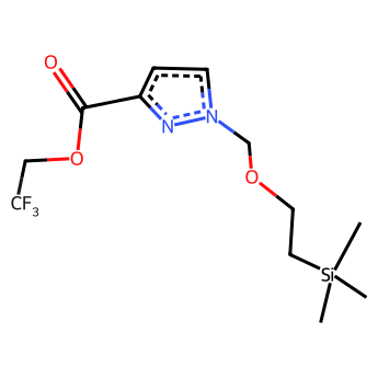 C[Si](C)(C)CCOCn1ccc(C(=O)OCC(F)(F)F)n1